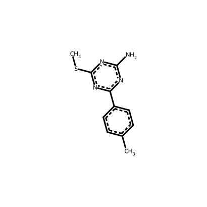 CSc1nc(N)nc(-c2ccc(C)cc2)n1